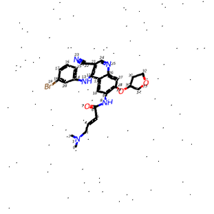 CN(C)CC=CC(=O)Nc1cc2c(Nc3cccc(Br)c3)c(C#N)cnc2cc1OC1CCOC1